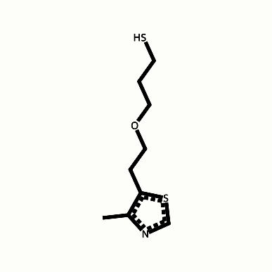 Cc1ncsc1CCOCCCS